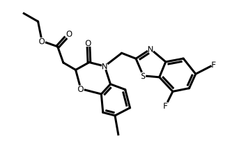 CCOC(=O)CC1Oc2cc(C)ccc2N(Cc2nc3cc(F)cc(F)c3s2)C1=O